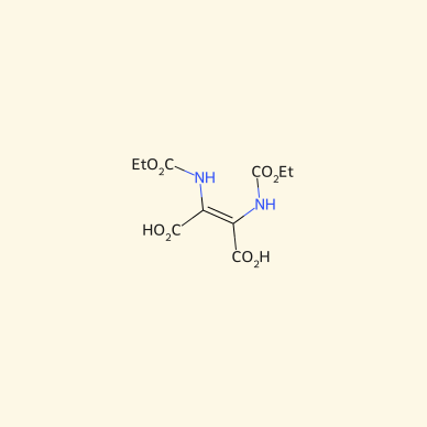 CCOC(=O)NC(C(=O)O)=C(NC(=O)OCC)C(=O)O